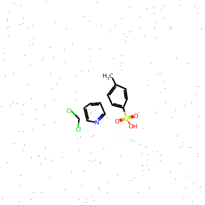 Cc1ccc(S(=O)(=O)O)cc1.ClCCl.c1ccncc1